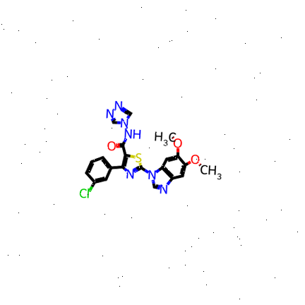 COc1cc2ncn(-c3nc(-c4cccc(Cl)c4)c(C(=O)Nn4cnnc4)s3)c2cc1OC